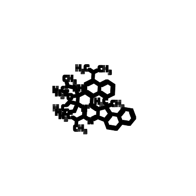 CCC1(CC)[n+]2c(C(C)C)nc3c(c2-c2c(cc(C(C)C)c4ccccc24)C1(NC(C)C)OC)C(C)(C)c1c-3ccc2ccccc12